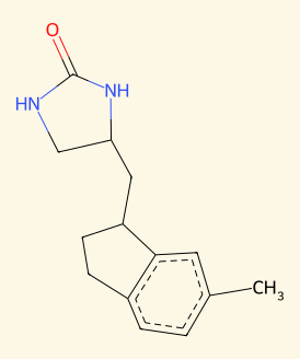 Cc1ccc2c(c1)C(CC1CNC(=O)N1)CC2